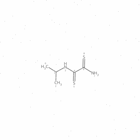 CC(C)NC(=S)C(N)=S